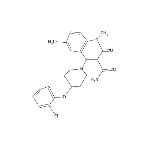 Cc1ccc2c(c1)c(N1CCC(Oc3ccccc3Cl)CC1)c(C(N)=O)c(=O)n2C